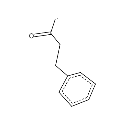 [CH2]C(=O)CCc1ccccc1